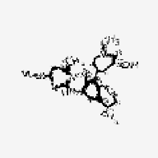 CNc1cc(C)nc(Nc2cc3c(c(C4=CCN(C)C[C@H](O)C4)c2F)OC[C@@H]3C)n1